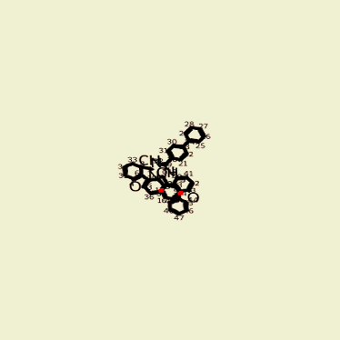 CC1c2c(oc3c2C(C)(c2nc(-c4ccccc4)nc(-c4ccc(-c5ccccc5)cc4)n2)CC=C3)C=CC1c1cccc2oc3ccccc3c12